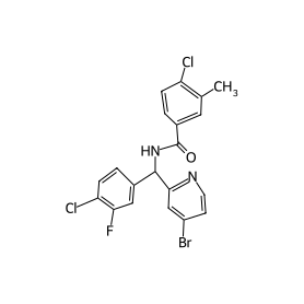 Cc1cc(C(=O)NC(c2ccc(Cl)c(F)c2)c2cc(Br)ccn2)ccc1Cl